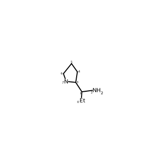 CCC(N)C1CCC[N]1